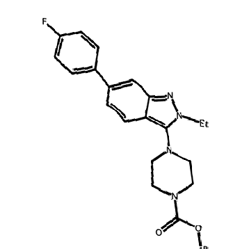 CCn1nc2cc(-c3ccc(F)cc3)ccc2c1N1CCN(C(=O)OC(C)(C)C)CC1